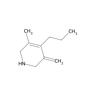 C=C1CNCC(C)=C1CCC